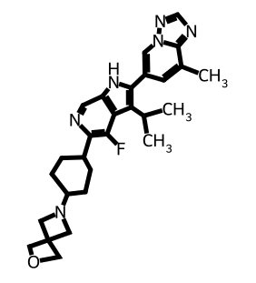 Cc1cc(-c2[nH]c3cnc(C4CCC(N5CC6(COC6)C5)CC4)c(F)c3c2C(C)C)cn2ncnc12